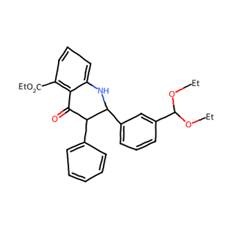 CCOC(=O)c1cccc2c1C(=O)C(c1ccccc1)C(c1cccc(C(OCC)OCC)c1)N2